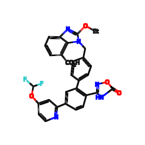 CCOc1nc2cccc(C(=O)O)c2n1Cc1ccc(-c2cc(-c3cc(OC(F)F)ccn3)ccc2-c2noc(=O)[nH]2)cc1